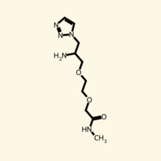 CNC(=O)COCCOCC(N)Cn1ccnn1